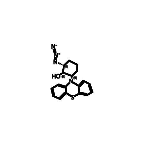 [N-]=[N+]=N[C@@H]1CCC[C@H](N2c3ccccc3Sc3ccccc32)[C@H]1O